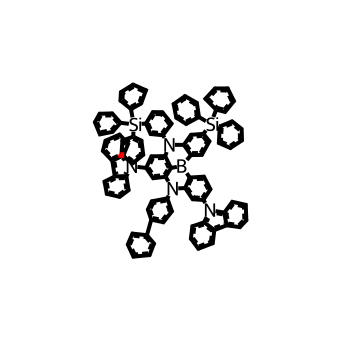 c1ccc(-c2ccc(N3c4cc(-n5c6ccccc6c6ccccc65)ccc4B4c5ccc([Si](c6ccccc6)(c6ccccc6)c6ccccc6)cc5N(c5cccc([Si](c6ccccc6)(c6ccccc6)c6ccccc6)c5)c5cc(-n6c7ccccc7c7ccccc76)cc3c54)cc2)cc1